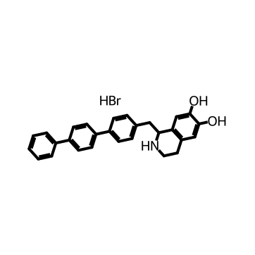 Br.Oc1cc2c(cc1O)C(Cc1ccc(-c3ccc(-c4ccccc4)cc3)cc1)NCC2